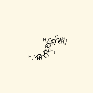 Cc1cc(C(=O)N(C)C)cnc1C1=CCN(Cc2cc3c(-c4ccc(N)nn4)ccnc3n2C)CC1